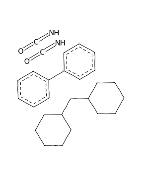 C1CCC(CC2CCCCC2)CC1.N=C=O.N=C=O.c1ccc(-c2ccccc2)cc1